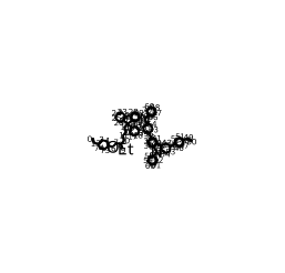 C=CC1=CCC(OCC(CC)CCCCC2(C3=CCCC=C3)C3=C(C=CCC3)c3ccc(N(C4=CC=C(c5ccc6c(c5)C5CC(c7ccc(C=C)cc7)CC=C5N6c5ccccc5)CC4)c4ccccc4)cc32)C=C1